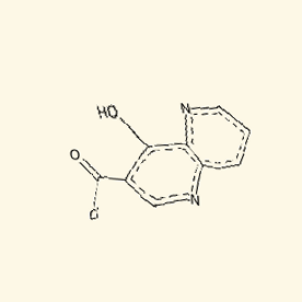 O=C(Cl)c1cnc2cccnc2c1O